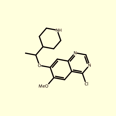 COc1cc2c(Cl)ncnc2cc1OC(C)C1CCNCC1